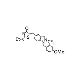 CCSC1=NC(=O)/C(=C/c2ccc3c(cnn3Cc3ccc(OC)cc3C(F)(F)F)c2)S1